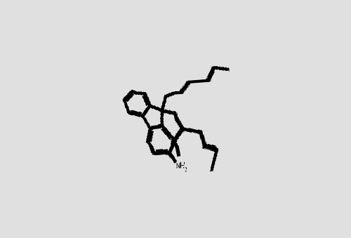 CCCCCCC1(CC(CC)CCCC)c2ccccc2-c2ccc(N)cc21